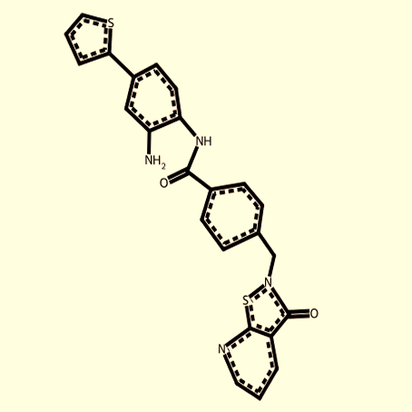 Nc1cc(-c2cccs2)ccc1NC(=O)c1ccc(Cn2sc3ncccc3c2=O)cc1